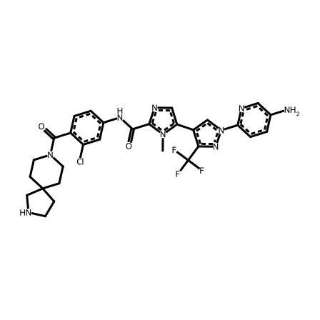 Cn1c(-c2cn(-c3ccc(N)cn3)nc2C(F)(F)F)cnc1C(=O)Nc1ccc(C(=O)N2CCC3(CCNC3)CC2)c(Cl)c1